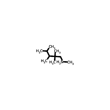 C[SiH2]CC(C)(C)C(C)C(C)C